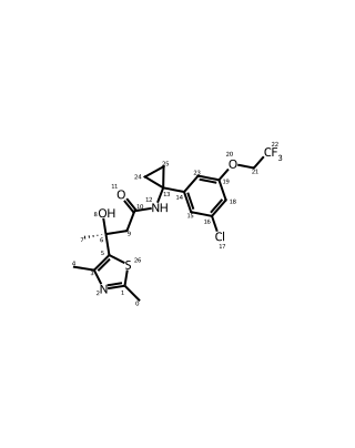 Cc1nc(C)c([C@@](C)(O)CC(=O)NC2(c3cc(Cl)cc(OCC(F)(F)F)c3)CC2)s1